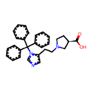 O=C(O)[C@@H]1CCN(CCc2cncn2C(c2ccccc2)(c2ccccc2)c2ccccc2)C1